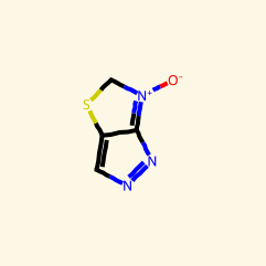 [O-][N+]1=C2N=NC=C2SC1